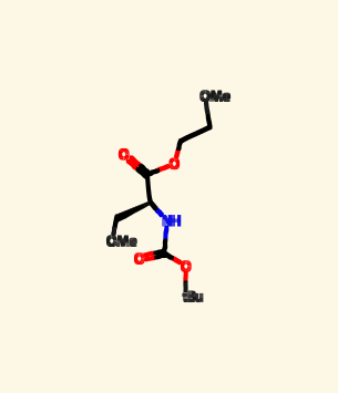 COCCOC(=O)[C@H](COC)NC(=O)OC(C)(C)C